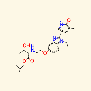 CCn1c(-c2cc(C)c(=O)n(C)c2)nc2cc(OCCN[C@H](C(=O)OCC(C)C)C(C)O)ccc21